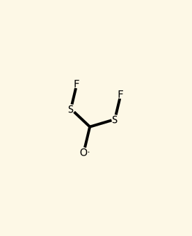 [O]C(SF)SF